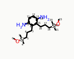 CO[Si](C)(C)CCCc1c(N)ccc(N)c1CCC[Si](C)(C)OC